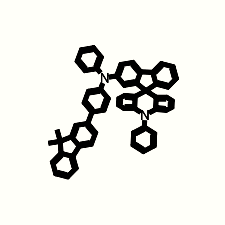 CC1(C)c2ccccc2-c2ccc(-c3ccc(N(c4ccccc4)c4ccc5c(c4)C4(c6ccccc6-5)c5ccccc5N(c5ccccc5)c5ccccc54)cc3)cc21